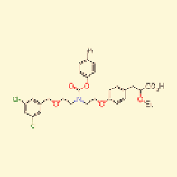 CCOC(Cc1ccc(OCCN(CCOCc2cc(Cl)cc(Cl)c2)C(=O)Oc2ccc(C(C)C)cc2)cc1)C(=O)O